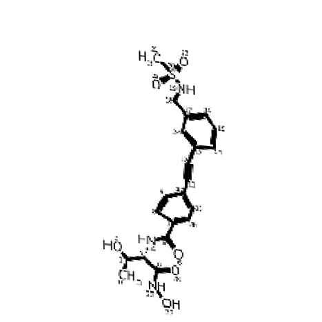 C[C@@H](O)[C@H](NC(=O)c1ccc(C#Cc2cccc(CNS(C)(=O)=O)c2)cc1)C(=O)NO